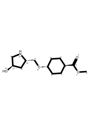 COC(=O)[C@H]1CC[C@H](OC[C@@H]2C[C@@H](O)CN2)CC1